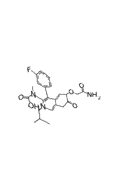 CC(C)CN1C=C2CC(=O)C(OCC(N)=O)C=C2C(c2cccc(F)c2)=C1N(C)C(=O)O